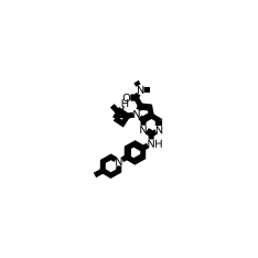 CC1CCN(c2ccc(Nc3ncc4cc(C(=O)N(C)C)n(C56CC(C5)[C@H]6C)c4n3)cc2)CC1